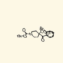 CCOC(=O)C1(C(=O)c2ccccc2Br)CCN(C(=O)OC(C)(C)C)CC1